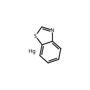 [Hg].c1ccc2scnc2c1